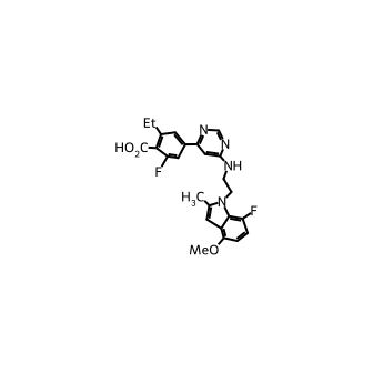 CCc1cc(-c2cc(NCCn3c(C)cc4c(OC)ccc(F)c43)ncn2)cc(F)c1C(=O)O